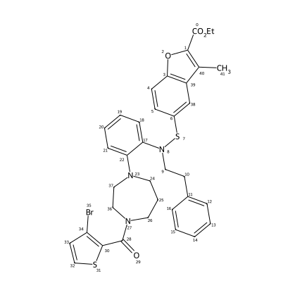 CCOC(=O)c1oc2ccc(SN(CCc3ccccc3)c3ccccc3N3CCCN(C(=O)c4sccc4Br)CC3)cc2c1C